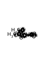 COc1cc(OC)cc(C(=O)N2CC[C@H](NCc3ccc4c(c3)OCCO4)C[C@@H]2Cc2ccccc2)c1